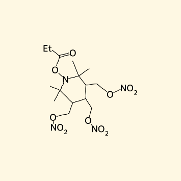 CCC(=O)ON1C(C)(C)C(CO[N+](=O)[O-])C(CO[N+](=O)[O-])C(CO[N+](=O)[O-])C1(C)C